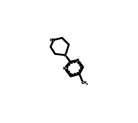 Cc1cnc(N2CCNCC2)nc1